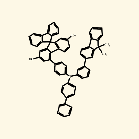 CC(C)(C)c1ccc2c(c1)C1(c3ccccc3-c3ccccc31)c1cc(C(C)(C)C)cc(-c3ccc(N(c4ccc(-c5ccccc5)cc4)c4cccc(-c5ccc6c(c5)C(C)(C)c5ccccc5-6)c4)cc3)c1-2